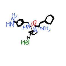 Cl.Cl.N=C(N)c1ccc(CNC(=O)[C@]23C[C@H]2CCN3C(=O)[C@H](N)CC2CCCCC2)cc1